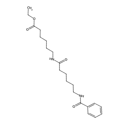 CCOC(=O)CCCCCNC(=O)CCCCCNC(=O)c1ccccc1